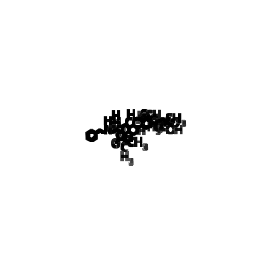 CC(C)C1=C2[C@H]3CC[C@@H]4[C@@]5(C)CC[C@H](OC(=O)CC(C)(C)C(=O)O)C(C)(C)[C@H]5CC[C@@]4(C)[C@]3(C)CC[C@@]2([C@@H](O)CNCCc2ccccc2)CC1=O